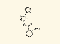 COc1ccccc1C(=O)Nc1nnc(-c2cccs2)o1